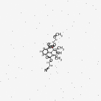 COCCOC(=O)C1=C(C)NC(C)=C(C(=O)OCCC#N)C1c1ccccc1[N+](=O)[O-]